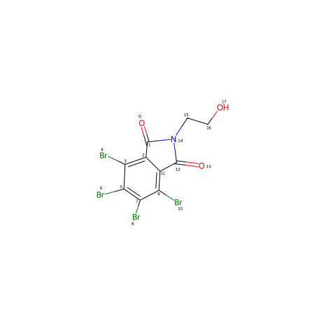 O=C1c2c(Br)c(Br)c(Br)c(Br)c2C(=O)N1CCO